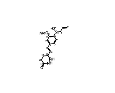 C=CC[S+]([O-])c1ccc(/C=C/C2CCC(=O)NN2)cc1OC